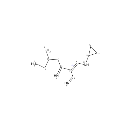 CC(CN)CC(=N)/C(C=N)=C/NC1CC1